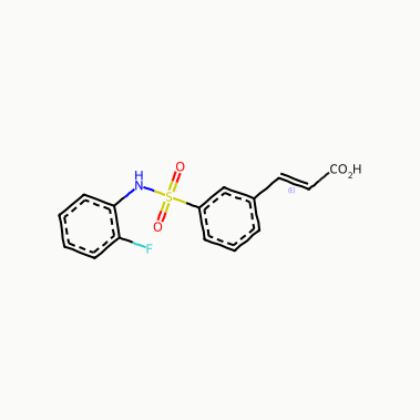 O=C(O)/C=C/c1cccc(S(=O)(=O)Nc2ccccc2F)c1